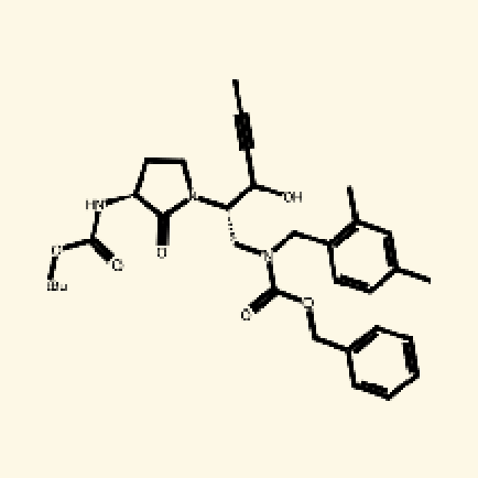 CC#CC(O)[C@H](CN(Cc1ccc(C)cc1C)C(=O)OCc1ccccc1)N1CC[C@H](NC(=O)OC(C)(C)C)C1=O